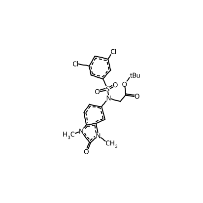 Cn1c(=O)n(C)c2cc(N(CC(=O)OC(C)(C)C)S(=O)(=O)c3cc(Cl)cc(Cl)c3)ccc21